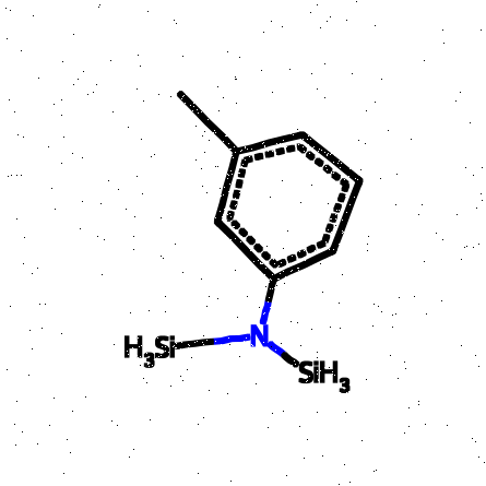 Cc1cccc(N([SiH3])[SiH3])c1